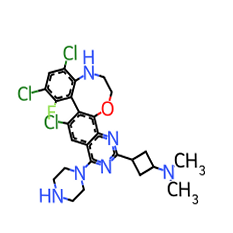 CN(C)C1CC(c2nc(N3CCNCC3)c3cc(Cl)c4c(c3n2)OCCNc2c(Cl)cc(Cl)c(F)c2-4)C1